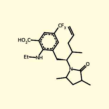 C=CCC(C)[C@H](Cc1cc(C(F)(F)F)cc(C(=O)O)c1NCC)N1C(=O)C(C)CC1C